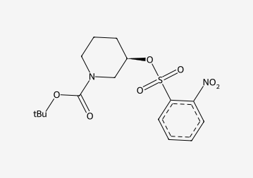 CC(C)(C)OC(=O)N1CCC[C@@H](OS(=O)(=O)c2ccccc2[N+](=O)[O-])C1